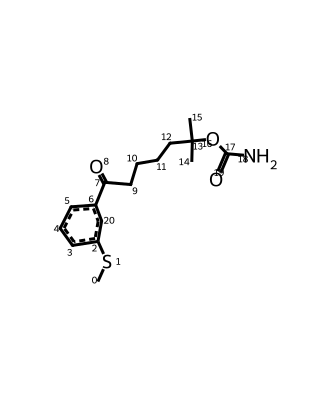 CSc1cccc(C(=O)CCCCC(C)(C)OC(N)=O)c1